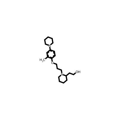 Cc1cc(N2CCCCC2)ccc1OCCCN1CCCCC1CCO